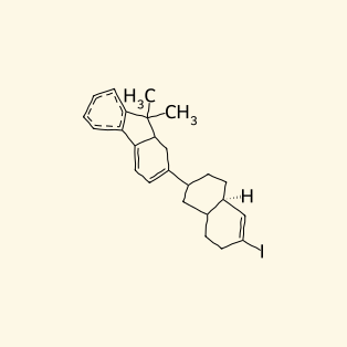 CC1(C)c2ccccc2C2=CC=C(C3CC[C@H]4C=C(I)CCC4C3)CC21